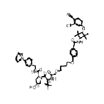 CC(C)(C)[C@H](NC(=O)COCCCCOc1ccc(C(=O)N[C@H]2C(C)(C)[C@H](Oc3ccc(C#N)c(Cl)c3)C2(C)C)cc1)C(=O)N1C[C@H](O)C[C@H]1C(=O)NCc1ccc(-n2cccn2)cc1